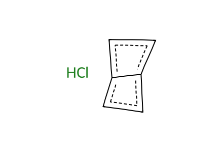 Cl.c1cc2ccc1-2